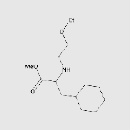 CCOCCNC(CC1CCCCC1)C(=O)OC